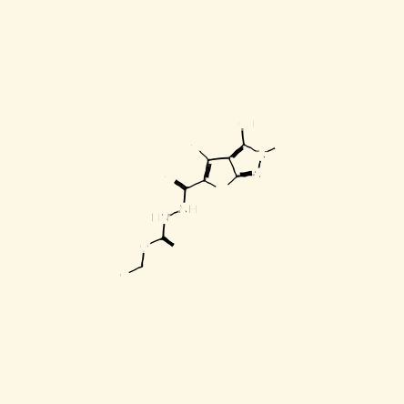 CCOC(=O)NNC(=O)c1oc2nn(C)c(C)c2c1C